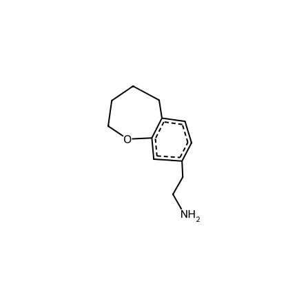 NCCc1ccc2c(c1)OCCCC2